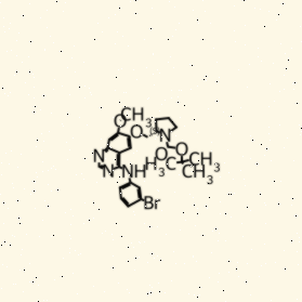 COc1cc2ncnc(Nc3cccc(Br)c3)c2cc1OC[C@@H]1CCCN1C(=O)OC(C)(C)C